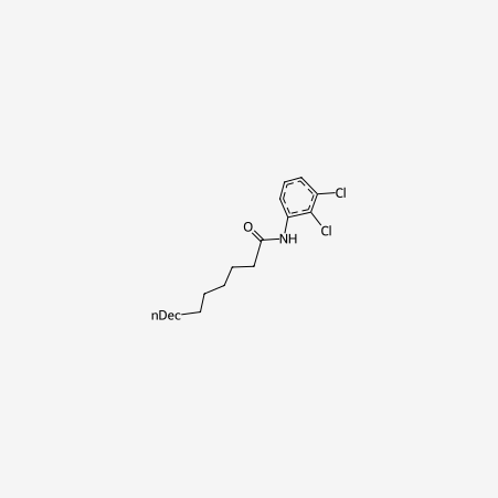 CCCCCCCCCCCCCCCC(=O)Nc1cccc(Cl)c1Cl